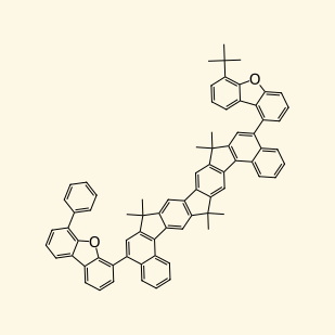 CC(C)(C)c1cccc2c1oc1cccc(-c3cc4c(c5ccccc35)-c3cc5c(cc3C4(C)C)-c3cc4c(cc3C5(C)C)-c3c(cc(-c5cccc6c5oc5c(-c7ccccc7)cccc56)c5ccccc35)C4(C)C)c12